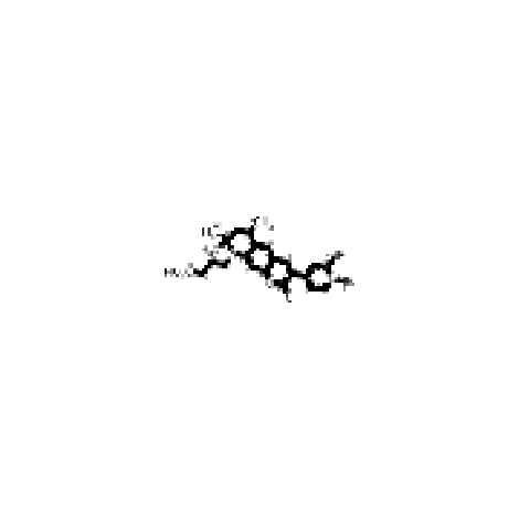 CC[n+]1ccc(-c2cc3cc4c(cc3oc2=O)N(CCCC(=O)O)C(C)(C)CC4C)cc1C(C)C